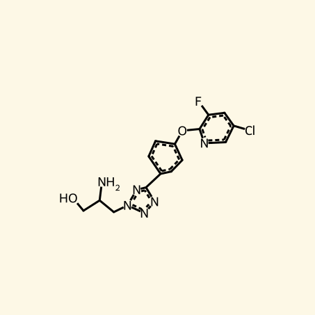 NC(CO)Cn1nnc(-c2ccc(Oc3ncc(Cl)cc3F)cc2)n1